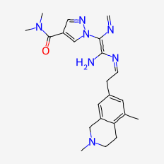 C=N/C(=C(N)\N=C/Cc1cc(C)c2c(c1)CN(C)CC2)n1cc(C(=O)N(C)C)cn1